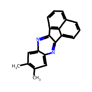 Cc1cc2nc3c(nc2cc1C)-c1cccc2cccc-3c12